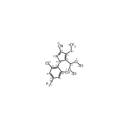 CCOC(OCC)c1c(SC(F)(F)F)c(C#N)nn1-c1c(Cl)cc(C(F)(F)F)cc1Cl